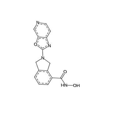 O=C(NO)c1cccc2c1CN(c1nc3ccncc3o1)C2